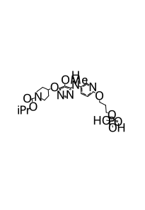 COc1c(Nc2ccc(OCCCOP(=O)(O)O)nc2C)ncnc1OC1CCN(C(=O)OC(C)C)CC1